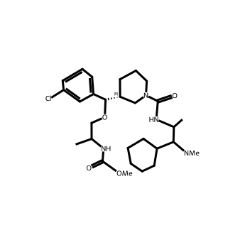 CNC(C1CCCCC1)C(C)NC(=O)N1CCC[C@@H](C(OCC(C)NC(=O)OC)c2cccc(Cl)c2)C1